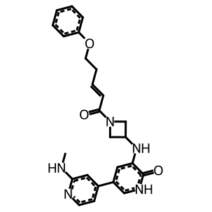 CNc1cc(-c2c[nH]c(=O)c(NC3CN(C(=O)C=CCCOc4ccccc4)C3)c2)ccn1